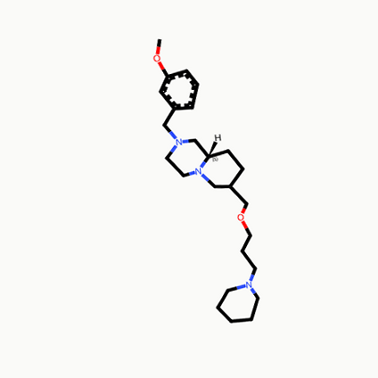 COc1cccc(CN2CCN3CC(COCCCN4CCCCC4)CC[C@H]3C2)c1